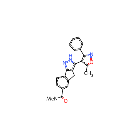 CNC(=O)c1ccc2c(c1)Cc1c-2n[nH]c1-c1c(-c2ccccc2)noc1C